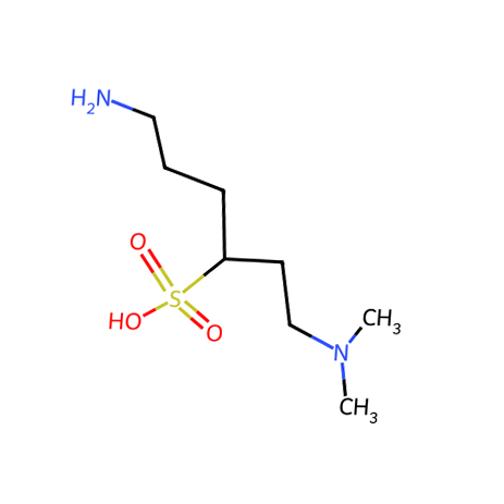 CN(C)CCC(CCCN)S(=O)(=O)O